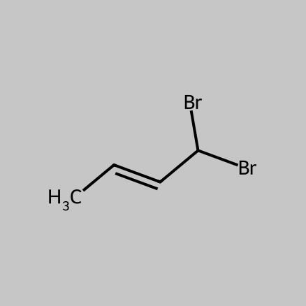 CC=CC(Br)Br